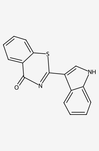 O=c1nc(-c2c[nH]c3ccccc23)sc2ccccc12